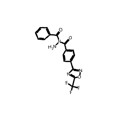 NN(C(=O)c1ccccc1)C(=O)c1ccc(-c2noc(C(F)(F)F)n2)cc1